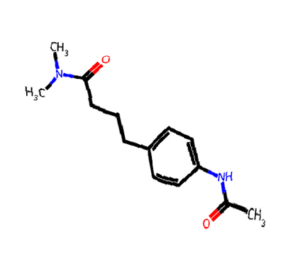 CC(=O)Nc1ccc(CCCC(=O)N(C)C)cc1